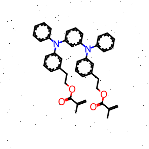 C=C(C)C(=O)OCCc1cccc(N(c2ccccc2)c2cccc(N(c3ccccc3)c3cccc(CCOC(=O)C(=C)C)c3)c2)c1